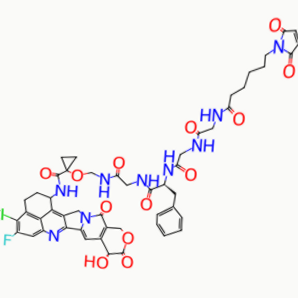 O=C(CCCCCN1C(=O)C=CC1=O)NCC(=O)NCC(=O)N[C@@H](Cc1ccccc1)C(=O)NCC(=O)NCOC1(C(=O)NC2CCc3c(Cl)c(F)cc4nc5c(c2c34)Cn2c-5cc3c(c2=O)COC(=O)[C@H]3O)CC1